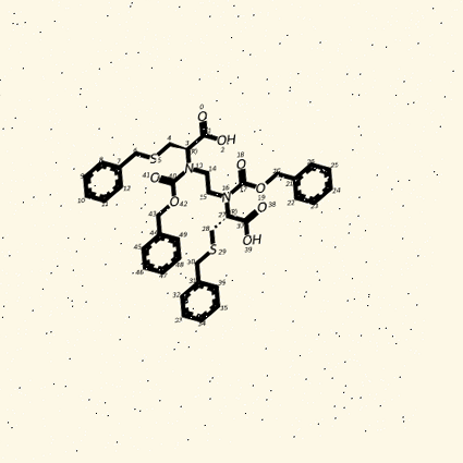 O=C(O)[C@H](CSCc1ccccc1)N(CCN(C(=O)OCc1ccccc1)[C@@H](CSCc1ccccc1)C(=O)O)C(=O)OCc1ccccc1